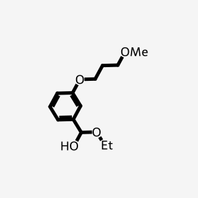 CCOC(O)c1cccc(OCCCOC)c1